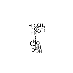 CC(C)(C)OC(=O)NCCCN1CCCCC(NC(=O)O)C1=O